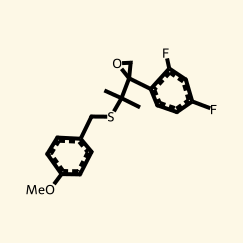 COc1ccc(CSC(C)(C)C2(c3ccc(F)cc3F)CO2)cc1